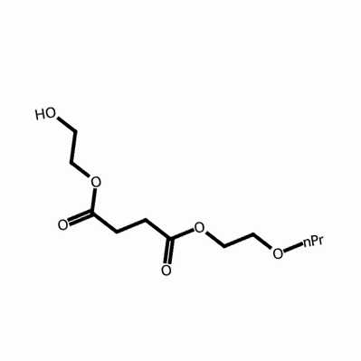 CCCOCCOC(=O)CCC(=O)OCCO